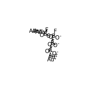 [Au+].[Au+].[Au+].[Au+].[Au+].[Au+].[Au+].[Au+].[O-]B([O-])F.[O-]B([O-])F.[O-]B([O-])F.[O-]B([O-])F